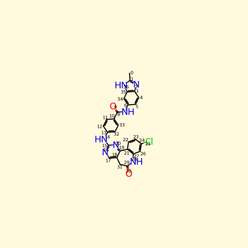 Cc1nc2ccc(NC(=O)c3ccc(Nc4ncc5c(n4)-c4ccc(Cl)cc4NC(=O)C5)cc3)cc2[nH]1